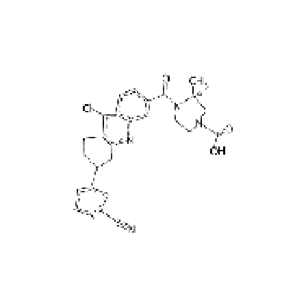 C[C@H]1CN(C(=O)O)CCN1C(=O)c1ccc2c(Cl)c3c(nc2c1)CC(c1ccnc(C#N)c1)CC3